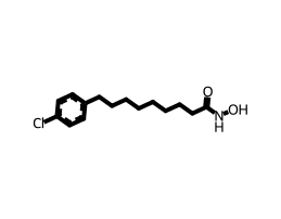 O=C(CCCCCCCCc1ccc(Cl)cc1)NO